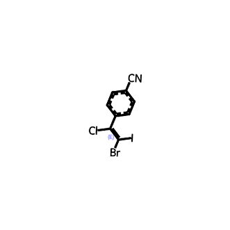 N#Cc1ccc(/C(Cl)=C(/Br)I)cc1